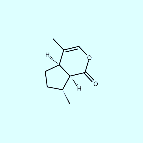 CC1=COC(=O)[C@H]2[C@H](C)CC[C@@H]12